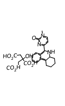 Cn1ccc(C2=c3ccccc3=C3CCCCC3N2)nc1=O.O=C(O)CC(O)(CC(=O)O)C(=O)O